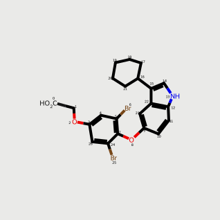 O=C(O)COc1cc(Br)c(Oc2ccc3[nH]cc(C4CCCCC4)c3c2)c(Br)c1